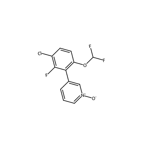 [O-][n+]1cccc(-c2c(OC(F)F)ccc(Cl)c2F)c1